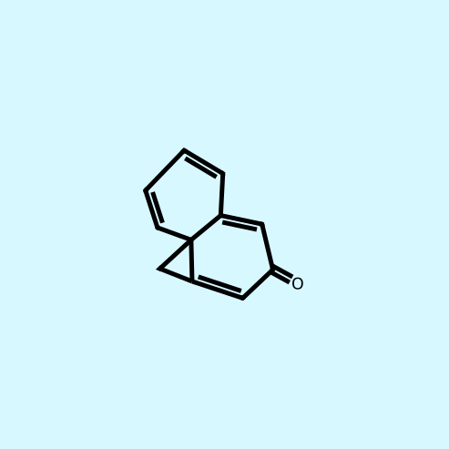 O=C1C=C2C=CC=CC23CC3=C1